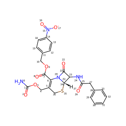 NC(=O)OCC1=C(C(=O)OCc2ccc([N+](=O)[O-])cc2)N2C(=O)C(NC(=O)Cc3ccccc3)[C@@H]2SC1